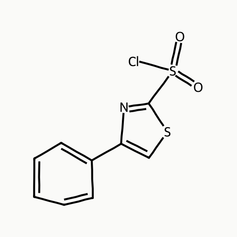 O=S(=O)(Cl)c1nc(-c2ccccc2)cs1